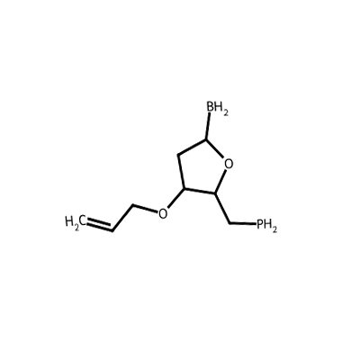 BC1CC(OCC=C)C(CP)O1